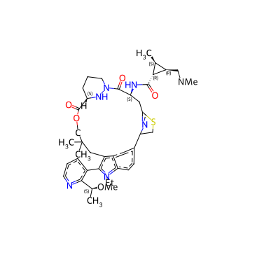 CCn1c(-c2cccnc2[C@H](C)OC)c2c3cc(ccc31)C1CSC(=N1)C[C@H](NC(=O)[C@@H]1[C@@H](C)[C@H]1CNC)C(=O)N1CCC[C@H](N1)C(=O)OCC(C)(C)C2